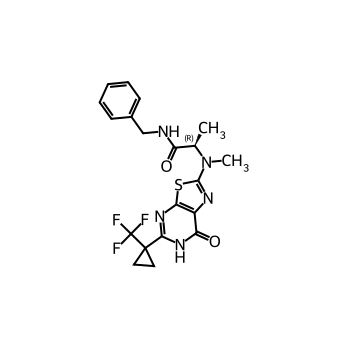 C[C@H](C(=O)NCc1ccccc1)N(C)c1nc2c(=O)[nH]c(C3(C(F)(F)F)CC3)nc2s1